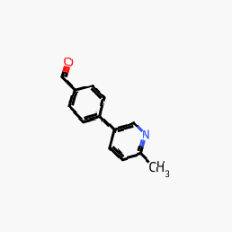 Cc1ccc(-c2ccc(C=O)cc2)cn1